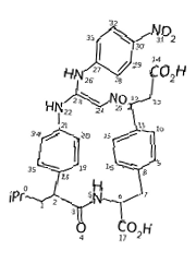 CC(C)CC(C(=O)NC(Cc1ccc(CCC(=O)O)cc1)C(=O)O)c1ccc(NC(=C[N+](=O)[O-])Nc2ccc([N+](=O)[O-])cc2)cc1